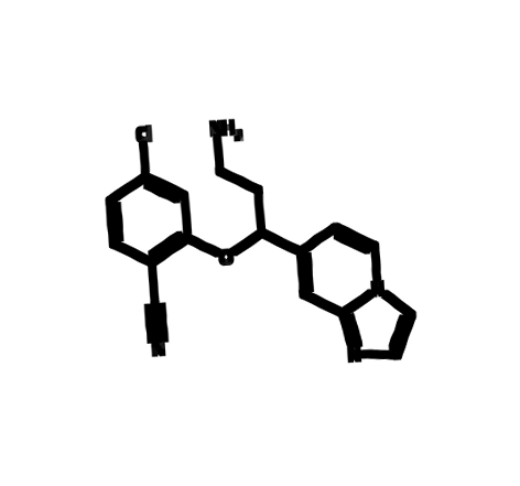 N#Cc1ccc(Cl)cc1OC(CCN)c1ccn2ccnc2c1